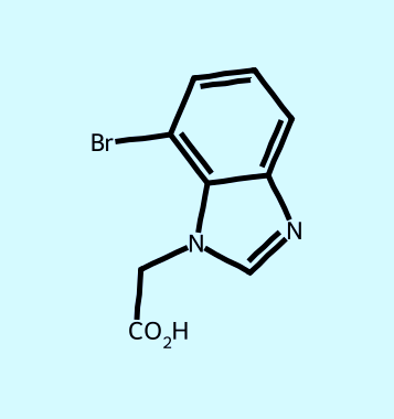 O=C(O)Cn1cnc2cccc(Br)c21